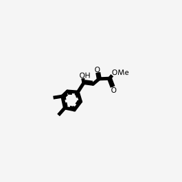 COC(=O)C(=O)/C=C(\O)c1ccc(C)c(C)c1